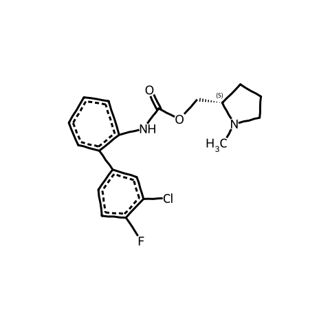 CN1CCC[C@H]1COC(=O)Nc1ccccc1-c1ccc(F)c(Cl)c1